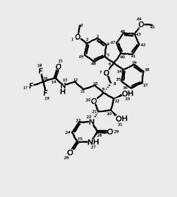 COc1ccc(C(OC[C@@]2(CCCNC(=O)C(F)(F)F)O[C@@H](n3ccc(=O)[nH]c3=O)[C@H](O)[C@@H]2O)(c2ccccc2)c2ccc(OC)cc2)cc1